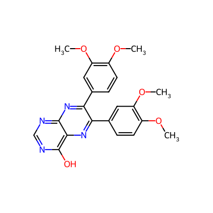 COc1ccc(-c2nc3ncnc(O)c3nc2-c2ccc(OC)c(OC)c2)cc1OC